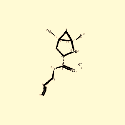 C=CCOC(=O)[C@@H]1C[C@H]2C[C@H]2N1.Cl